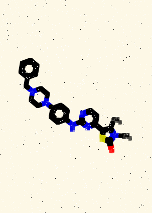 Cc1c(-c2ccnc(Nc3ccc(N4CCN(Cc5ccccc5)CC4)cc3)n2)sc(=O)n1C